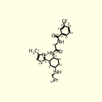 Cc1csc([C@@H]2C[C@H](NCC(C)C)CC[C@@H]2NC(=O)CNC(=O)c2cccc(C(F)(F)F)c2)n1